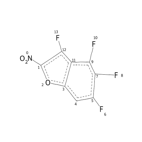 O=[N+]([O-])c1oc2cc(F)c(F)c(F)c2c1F